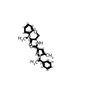 Cc1cc(C(=O)N[C@H]2COc3ccccc3N(C)C2=O)nn1C(C)c1ccccc1